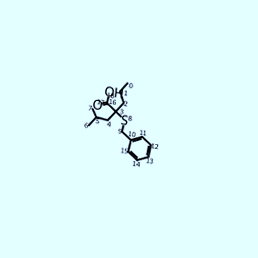 CCCC(CC(C)C)(SCc1ccccc1)C(=O)O